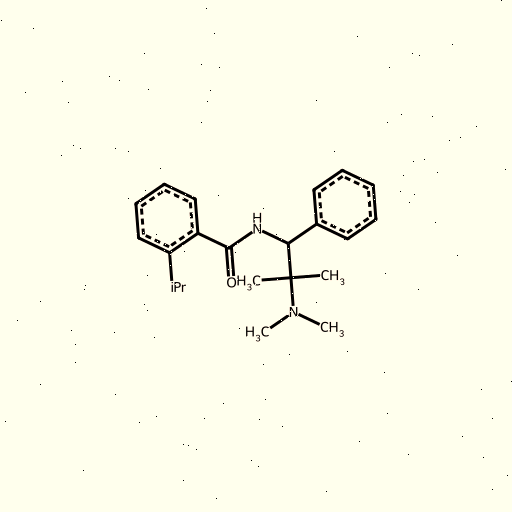 CC(C)c1ccccc1C(=O)NC(c1ccccc1)C(C)(C)N(C)C